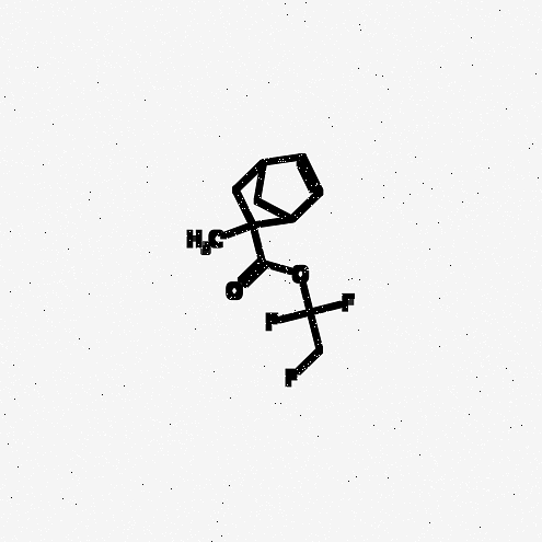 CC1(C(=O)OC(F)(F)CF)CC2C=CC1C2